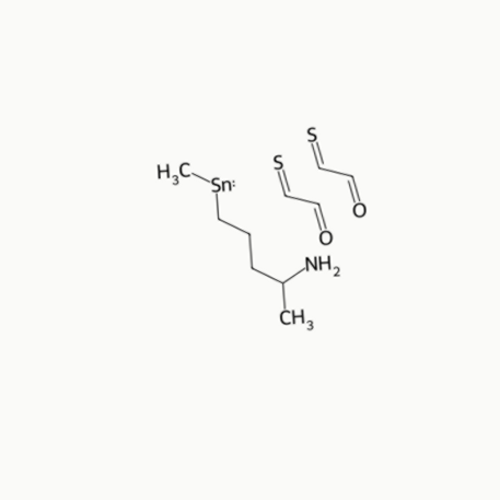 O=CC=S.O=CC=S.[CH3][Sn][CH2]CCC(C)N